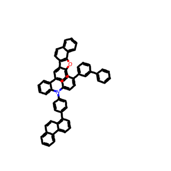 c1ccc(-c2cccc(-c3ccc(N(c4ccc(-c5cccc6c5ccc5ccccc56)cc4)c4ccccc4-c4ccc5oc6c7ccccc7ccc6c5c4)cc3)c2)cc1